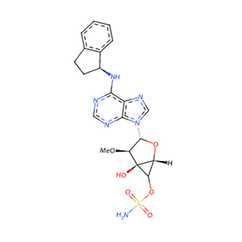 CO[C@H]1[C@H](n2cnc3c(N[C@H]4CCc5ccccc54)ncnc32)O[C@@H]2C(OS(N)(=O)=O)[C@@]21O